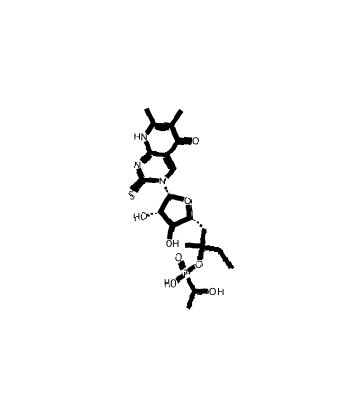 CCC(C)(C[C@H]1O[C@@H](n2cc3c(=O)c(C)c(C)[nH]c3nc2=S)[C@@H](O)C1O)OP(=O)(O)C(C)O